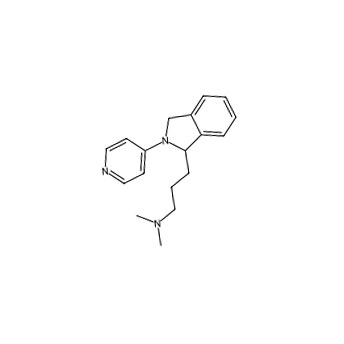 CN(C)CCCC1c2ccccc2CN1c1ccncc1